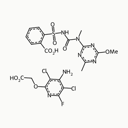 COc1nc(C)nc(N(C)C(=O)NS(=O)(=O)c2ccccc2C(=O)O)n1.Nc1c(Cl)c(F)nc(OCC(=O)O)c1Cl